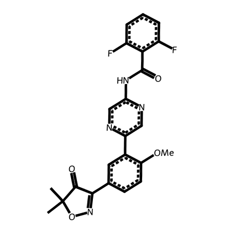 COc1ccc(C2=NOC(C)(C)C2=O)cc1-c1cnc(NC(=O)c2c(F)cccc2F)cn1